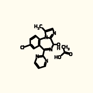 CC(=O)O.Cc1cnc2n1-c1ccc(Cl)cc1C(c1ncccn1)=NC2O